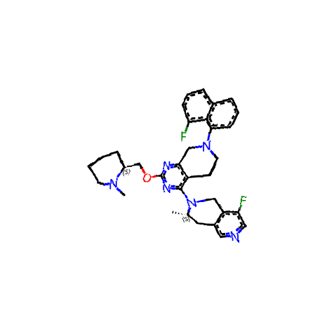 C[C@H]1Cc2cncc(F)c2CN1c1nc(OC[C@@H]2CCCCN2C)nc2c1CCN(c1cccc3cccc(F)c13)C2